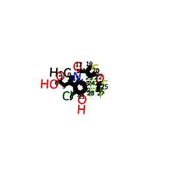 Cc1c(CC(=O)O)c2c(Cl)c(O)ccc2n1C(=O)c1csc(OC(F)(F)C(F)F)c1